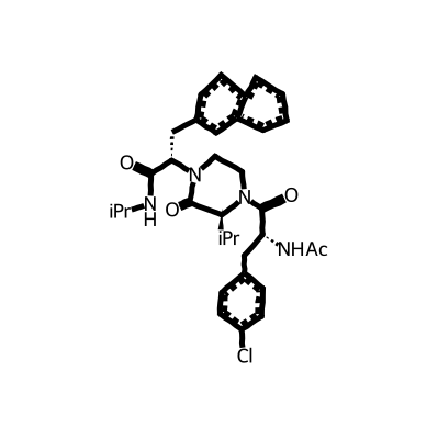 CC(=O)N[C@H](Cc1ccc(Cl)cc1)C(=O)N1CCN([C@@H](Cc2ccc3ccccc3c2)C(=O)NC(C)C)C(=O)[C@@H]1C(C)C